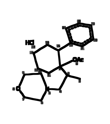 CC(=O)OC1(C(C)CN2CCOCC2)CCCCC1c1ccccc1.Cl